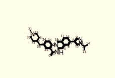 C=C(Nc1cc2cc(-c3cnn(C(C)C)c3)ccc2cn1)c1cccc(CC2CCN(C)CC2)c1